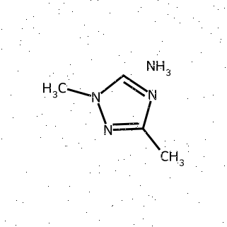 Cc1ncn(C)n1.N